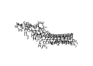 CCC(C)(C(C)(C)C(C)(C)C(C)C(C)(C)C(C)(C)C(c1ccccc1)C(C)(C)CCC(C)(C)C(C)(c1ccccc1)C(C)(C)C)C(C)(C)C(C)(C)C(C)(C)C(C)(C)C(C)(C)C(=O)C(C)(C)C